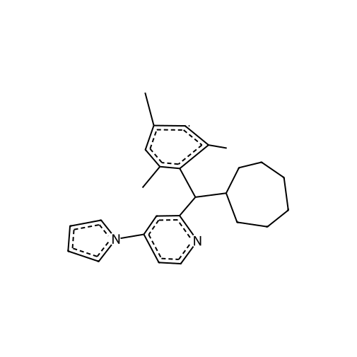 Cc1[c]c(C)c(C(c2cc(-n3cccc3)ccn2)C2CCCCCC2)c(C)c1